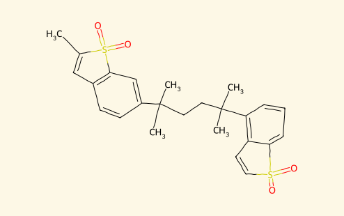 CC1=Cc2ccc(C(C)(C)CCC(C)(C)c3cccc4c3C=CS4(=O)=O)cc2S1(=O)=O